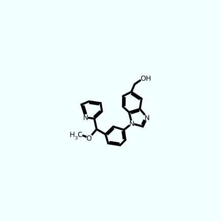 COC(c1cccc(-n2cnc3cc(CO)ccc32)c1)c1ccccn1